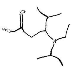 CCN(C(C)C)C(CC(=O)O)C(C)C